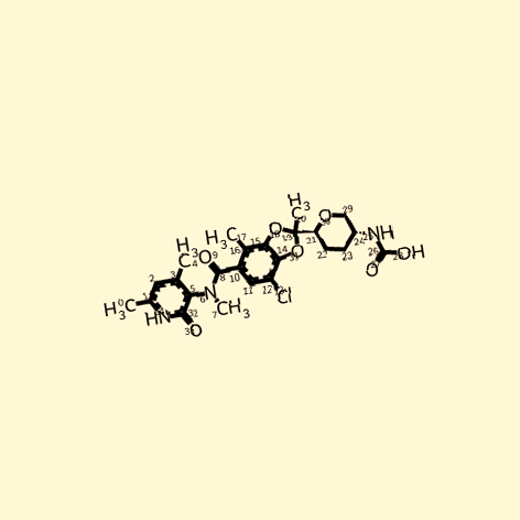 Cc1cc(C)c(N(C)C(=O)c2cc(Cl)c3c(c2C)OC(C)([C@@H]2CC[C@@H](NC(=O)O)CO2)O3)c(=O)[nH]1